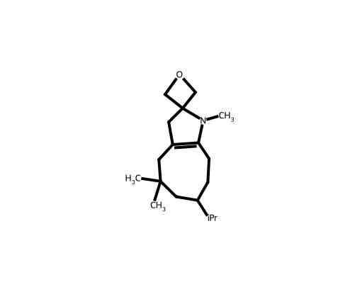 CC(C)C1CCC2=C(CC(C)(C)C1)CC1(COC1)N2C